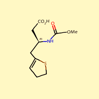 COC(=O)N[C@H](CC(=O)O)CC1=CCCS1